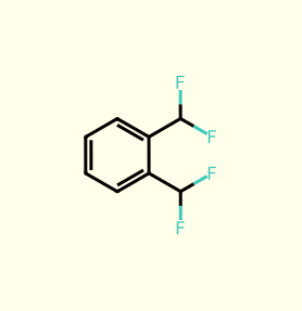 FC(F)c1ccccc1C(F)F